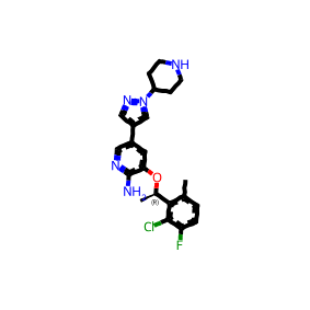 Cc1ccc(F)c(Cl)c1[C@@H](C)Oc1cc(-c2cnn(C3CCNCC3)c2)cnc1N